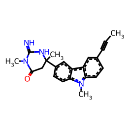 CC#Cc1ccc2c(c1)c1cc(C3(C)CC(=O)N(C)C(=N)N3)ccc1n2C